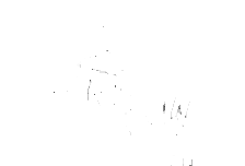 COc1cc2c(cc1C(=O)Nc1cccc(-c3nnc4n3C(C)(C)CC4)n1)CN(C)CC2